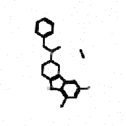 CI.CN(Cc1ccccc1)C1CCc2[nH]c3c(F)cc(F)cc3c2C1